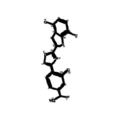 OC(O)c1ccc(-c2noc(-c3cc4c(Cl)ccc(Cl)c4o3)n2)c(Cl)c1